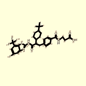 CC(C)(C)C1CCC(C(Cc2ccc(C(=O)NCCC(=O)O)cc2)C(=O)Nc2nc3cc(F)cc(C(F)(F)F)c3s2)CC1